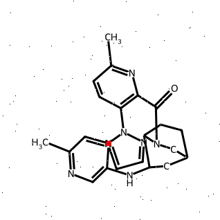 Cc1cnc(NC2CC3CCC2N(C(=O)c2nc(C)ccc2-n2nccn2)C3)cn1